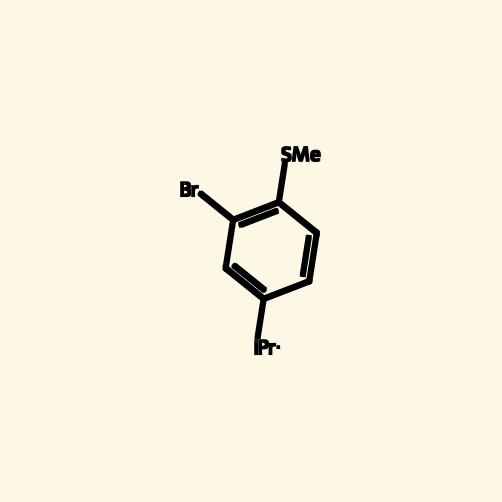 CSc1ccc([C](C)C)cc1Br